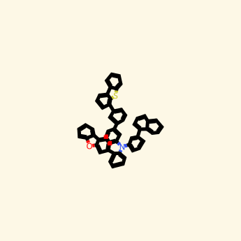 c1cc(-c2cccc(N(c3cccc(-c4cccc5ccccc45)c3)c3ccccc3-c3ccc4c(c3)oc3ccccc34)c2)cc(-c2cccc3c2sc2ccccc23)c1